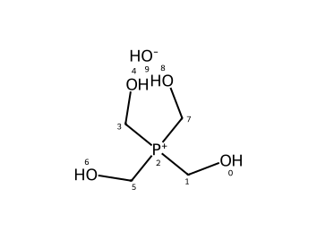 OC[P+](CO)(CO)CO.[OH-]